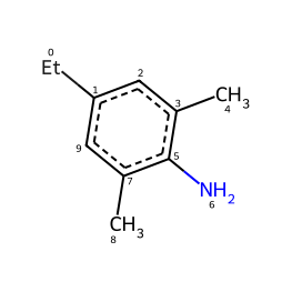 CCc1cc(C)c(N)c(C)c1